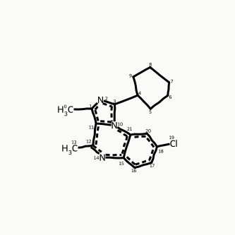 Cc1nc(C2CCCCC2)n2c1c(C)nc1ccc(Cl)cc12